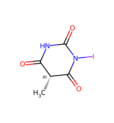 C[C@@H]1C(=O)NC(=O)N(I)C1=O